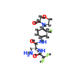 NC[C@@H](NC(=O)C(F)F)C(=O)Nc1ccc(N2CCOCC2=O)c(F)c1